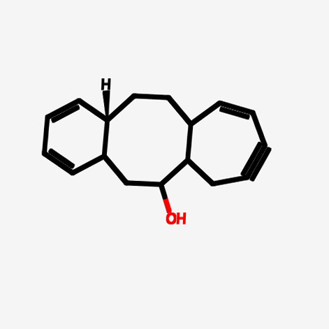 OC1CC2C=CC=C[C@@H]2CCC2C=CC#CCC12